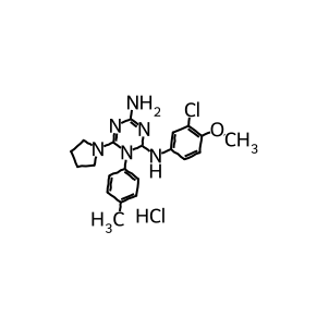 COc1ccc(NC2N=C(N)N=C(N3CCCC3)N2c2ccc(C)cc2)cc1Cl.Cl